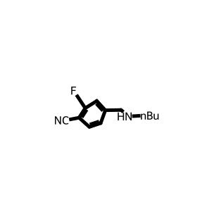 CCCCNCc1ccc(C#N)c(F)c1